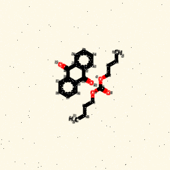 CCCCOC(=O)OCCCC.O=C1c2ccccc2C(=O)c2ccccc21